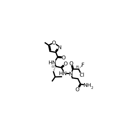 Cc1cc(C(=O)N[C@@H](CC(C)C)C(=O)NN(CCC(N)=O)C(=O)[C@H](F)Cl)no1